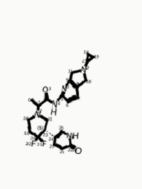 CC(C(=O)Nc1ccc2c(n1)CN(C1CC1)C2)N1CCC(F)(F)[C@@H](c2ccc(=O)[nH]c2)C1